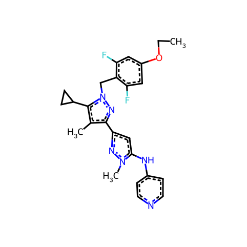 CCOc1cc(F)c(Cn2nc(-c3cc(Nc4ccncc4)n(C)n3)c(C)c2C2CC2)c(F)c1